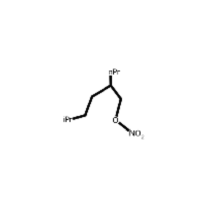 CCCC(CCC(C)C)CO[N+](=O)[O-]